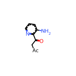 CC(=O)CC(=O)c1ncccc1N